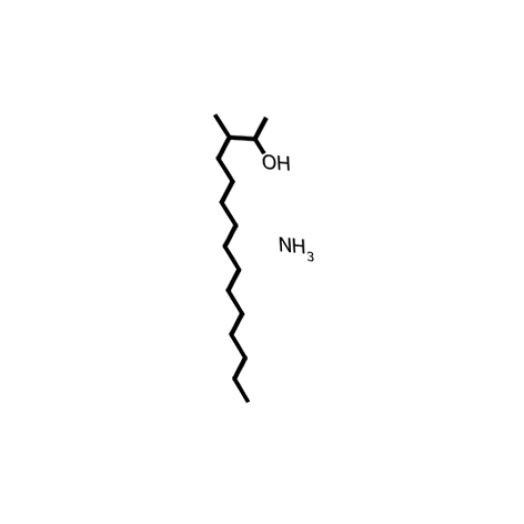 CCCCCCCCCCCCC(C)C(C)O.N